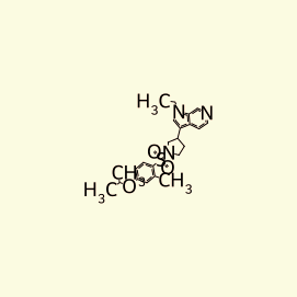 CCn1cc(C2CCN(S(=O)(=O)c3ccc(OC(C)C)cc3C)C2)c2ccncc21